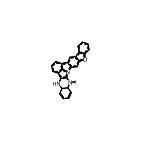 IN1c2c(c3cccc4c5cc6c(cc5n2c34)oc2ccccc26)NC2C=CC=CC21